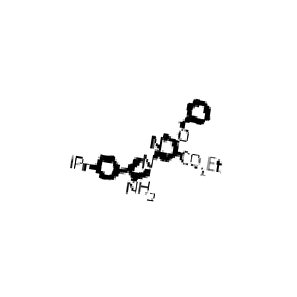 CCOC(=O)c1cc(-n2cc(N)c(-c3ccc(C(C)C)cc3)c2)ncc1OCc1ccccc1